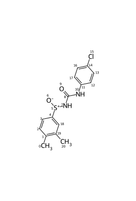 Cc1ccc([S+]([O-])NC(=O)Nc2ccc(Cl)cc2)cc1C